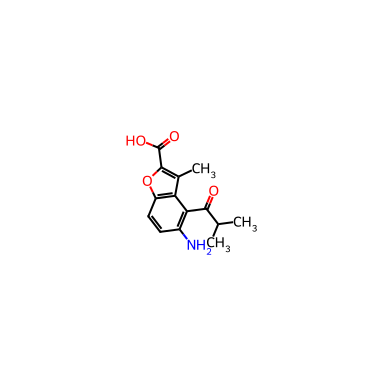 Cc1c(C(=O)O)oc2ccc(N)c(C(=O)C(C)C)c12